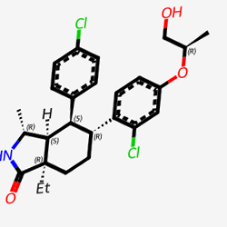 CC[C@@]12CC[C@@H](c3ccc(O[C@H](C)CO)cc3Cl)[C@H](c3ccc(Cl)cc3)[C@@H]1[C@@H](C)NC2=O